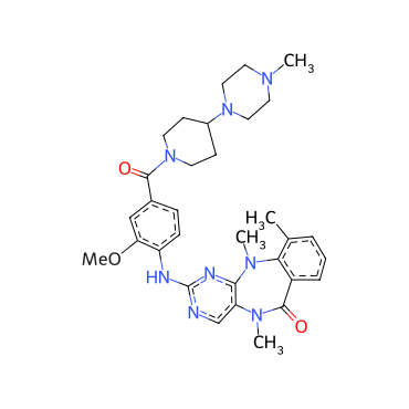 COc1cc(C(=O)N2CCC(N3CCN(C)CC3)CC2)ccc1Nc1ncc2c(n1)N(C)c1c(C)cccc1C(=O)N2C